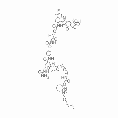 CC[C@@]1(O)C(=O)OCc2c1cc1n(c2=O)Cc2c-1nc1cc(F)c(C)c3c1c2[C@@H](NC(=O)COCNC(=O)CNC(=O)OCc1ccc(NC(=O)[C@H](CCCNC(N)=O)NC(=O)[C@@H](NC(=O)CC(C)(C)COCC(C)(C)CNC(=O)COC2CCCCCc4c2nnn4CCOCCN)C(C)C)cc1)CC3